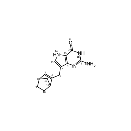 Nc1nc2c(CC3=CC4CCC3C4)c[nH]c2c(=O)[nH]1